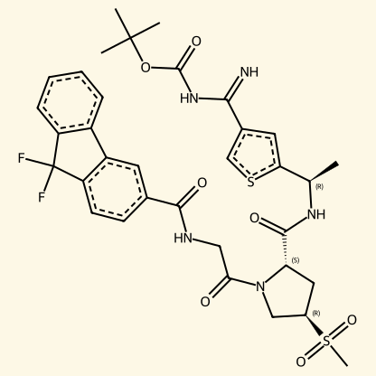 C[C@@H](NC(=O)[C@@H]1C[C@@H](S(C)(=O)=O)CN1C(=O)CNC(=O)c1ccc2c(c1)-c1ccccc1C2(F)F)c1cc(C(=N)NC(=O)OC(C)(C)C)cs1